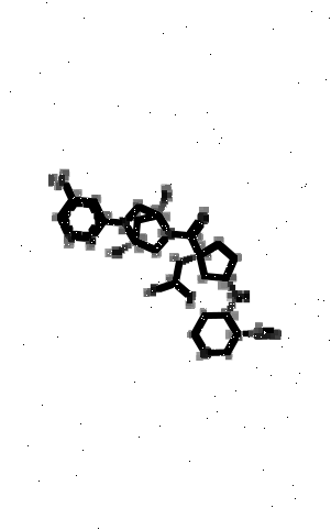 CO[C@@H]1COCC[C@@H]1N[C@H]1CC[C@](CC(F)F)(C(=O)N2C[C@@H]3C[C@H]2CN3c2cc(C(F)(F)F)cnn2)C1